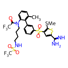 CSc1sc(C(=N)N)cc1S(=O)(=O)c1cccc(-c2c(C)cccc2N(CCCCNS(=O)(=O)C(F)(F)F)C(=O)C(F)(F)F)c1